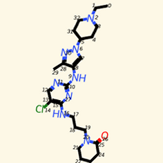 CCN1CCC(n2cc(Nc3ncc(Cl)c(NCCCN4CCCCC4=O)n3)c(C)n2)CC1